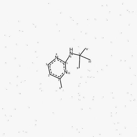 Cc1ccnc(NC(C)(C)C)n1